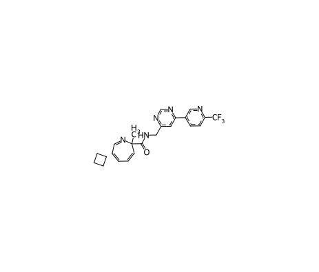 C1CCC1.CC1(C(=O)NCc2cc(-c3ccc(C(F)(F)F)nc3)ncn2)C=CC=CC=N1